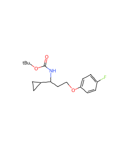 CC(C)(C)OC(=O)NC(CCOc1ccc(F)cc1)C1CC1